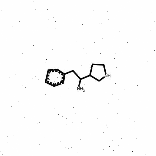 NC(Cc1ccccc1)C1CCNC1